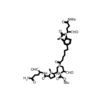 CNC(=O)CCC(C=O)n1c(=O)n(C)c2cc(CCCCCC(=O)N(CCC3CCC(C(=O)NC(C=O)CCC(N)=O)N3C)CC(C=O)NC(=O)OC(C)(C)C)ccc21